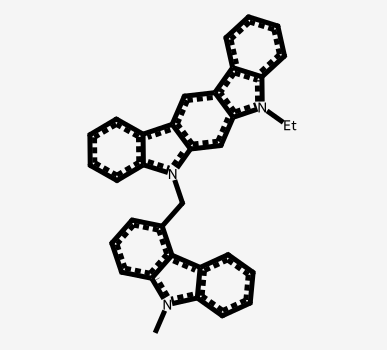 CCn1c2ccccc2c2cc3c4ccccc4n(Cc4cccc5c4c4ccccc4n5C)c3cc21